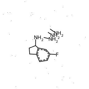 CN.CN.CN.NC1CCc2ccc(F)cc21